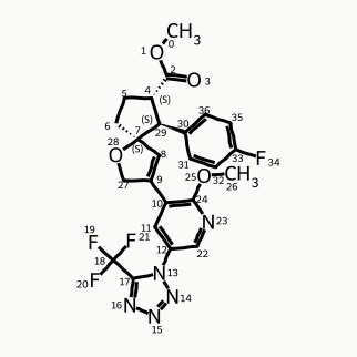 COC(=O)[C@H]1CC[C@@]2(C=C(c3cc(-n4nnnc4C(F)(F)F)cnc3OC)CO2)[C@@H]1c1ccc(F)cc1